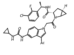 CC(=O)c1cn(CC(=O)N2C3C[C@@H]3C[C@H]2C(=O)N[C@H](C)c2cccc(Cl)c2F)c2ccc(NC(=O)NC3CC3)cc12